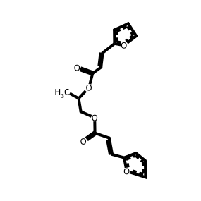 CC(COC(=O)C=Cc1ccco1)OC(=O)C=Cc1ccco1